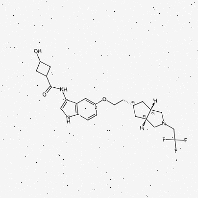 O=C(Nc1c[nH]c2ccc(OCC[C@@H]3C[C@@H]4CN(CC(F)(F)F)C[C@@H]4C3)cc12)C1CC(O)C1